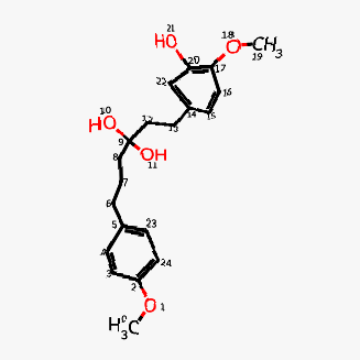 COc1ccc(CCCC(O)(O)CCc2ccc(OC)c(O)c2)cc1